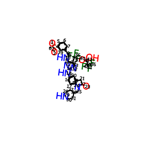 CS(=O)(=O)c1cccc(CNc2nc(Nc3ccc4c(c3)CC(=O)N4CC3CCNCC3)ncc2C(F)(F)F)c1.O=C(O)C(F)(F)F